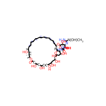 C[C@@H]1[C@H](O)[C@@H](C)/C=C/C=C/C=C/C=C/C=C/C=C/C=C/[C@H](O[C@@H]2O[C@H](C)[C@@H](O)[C@H](/N=C(\N)N(C)O)[C@@H]2O)C[C@@H]2O[C@](O)(C[C@@H](O)C[C@@H](O)[C@H](O)CC[C@@H](O)C[C@@H](O)CC(=O)O[C@H]1C)C[C@H](O)[C@H]2NC(=O)NO